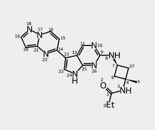 CCC(=O)N[C@]1(C)C[C@@H](Nc2ncc3c(-c4ccn5nccc5n4)c[nH]c3n2)C1